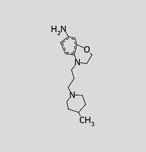 CC1CCN(CCCN2CCOc3cc(N)ccc32)CC1